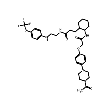 CC(=O)N1CCN(c2ccc(OCC(=O)NC3CCCCC3CCC(=O)NCCNc3ccc(OC(F)(F)F)cc3)cc2)CC1